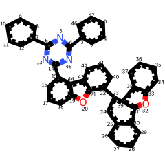 c1ccc(-c2nc(-c3ccccc3)nc(-c3cccc4oc5c(-c6cc7ccccc7c7oc8ccccc8c67)cccc5c34)n2)cc1